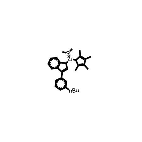 CCCCc1cccc(C2=C[CH]([Zr]([CH]3C(C)=C(C)C(C)=C3C)=[Si](C)C)c3ccccc32)c1